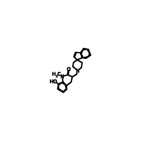 CN1C(=O)C(CN2CCC3(C=Cc4ccccc43)CC2)Cc2cccc(O)c21